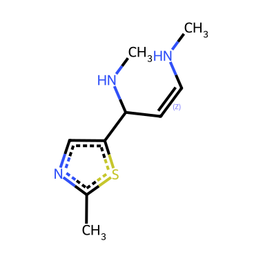 CN/C=C\C(NC)c1cnc(C)s1